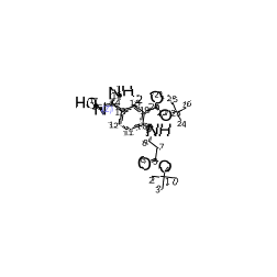 CC(C)(C)OC(=O)CCNc1ccc(/C(N)=N/O)cc1C(=O)OC(C)(C)C